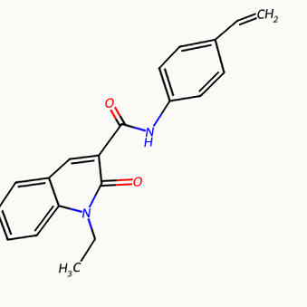 C=Cc1ccc(NC(=O)c2cc3ccccc3n(CC)c2=O)cc1